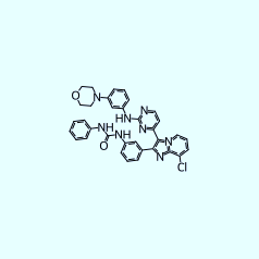 O=C(Nc1ccccc1)Nc1cccc(-c2nc3c(Cl)cccn3c2-c2ccnc(Nc3cccc(N4CCOCC4)c3)n2)c1